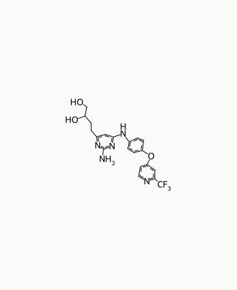 Nc1nc(CCC(O)CO)cc(Nc2ccc(Oc3ccnc(C(F)(F)F)c3)cc2)n1